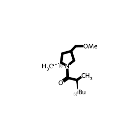 CC[C@H](C)C(C)C(=O)N1CC(COC)C[C@H]1C